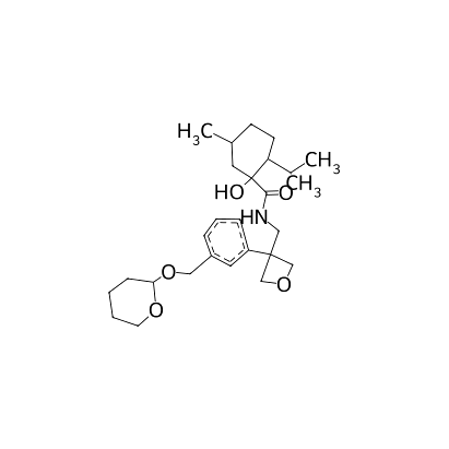 CC1CCC(C(C)C)C(O)(C(=O)NCC2(c3cccc(COC4CCCCO4)c3)COC2)C1